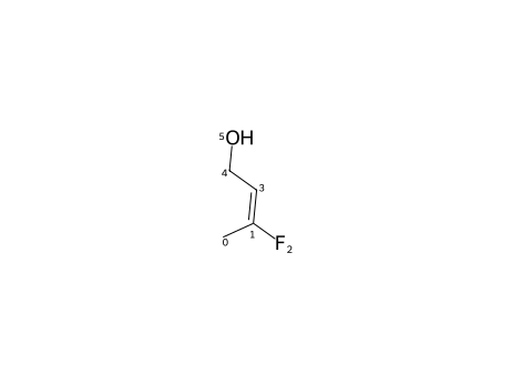 C/C(F)=C\CO